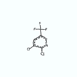 FC(F)(F)c1[c]nc(Cl)c(Cl)c1